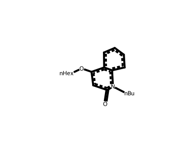 CCCCCCOc1cc(=O)n(CCCC)c2ccccc12